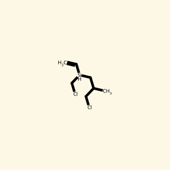 C=C[SiH](CCl)CC(C)CCl